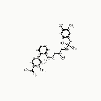 Cc1cc(CC(C)(C)NC[C@@H](O)CO[C@H](C)c2ccccc2-c2ccc(C(=O)O)c(C)c2)ccc1Cl